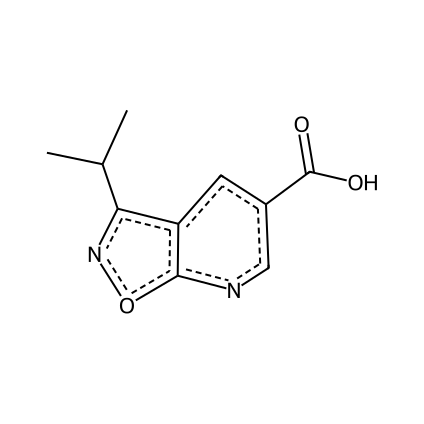 CC(C)c1noc2ncc(C(=O)O)cc12